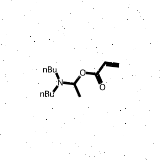 C=CC(=O)OC(C)N(CCCC)CCCC